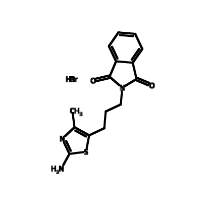 Br.Cc1nc(N)sc1CCCN1C(=O)c2ccccc2C1=O